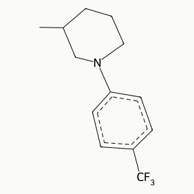 CC1CCCN(c2ccc(C(F)(F)F)cc2)C1